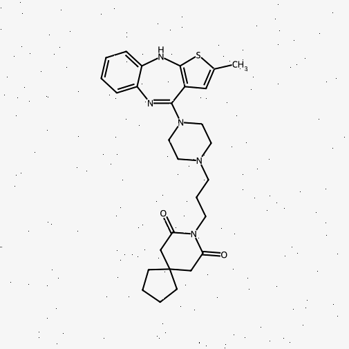 Cc1cc2c(s1)Nc1ccccc1N=C2N1CCN(CCCN2C(=O)CC3(CCCC3)CC2=O)CC1